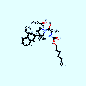 C=CCCCCOC(=O)N[C@H](C(=O)N1C[C@](OC)(c2cc(C=C)c3ccccc3c2)C[C@H]1C(=O)OC)C(C)(C)C